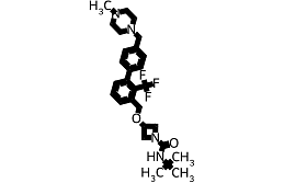 CN1CCN(Cc2ccc(-c3cccc(COC4CN(C(=O)NC(C)(C)C)C4)c3C(F)(F)F)cc2)CC1